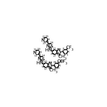 Cn1c(-c2cccc(C(F)(F)F)c2)nc2cc(Nc3nc(-c4cccnc4)cs3)ccc21.Cn1c(-c2cccc(OC(F)(F)F)c2)nc2cc(Nc3nc(-c4cccnc4)cs3)ccc21